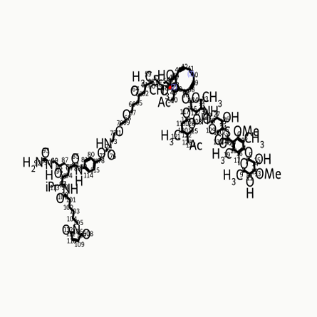 COc1c(C)c(OC2OC(C)C(O)C(OC)C2O)c(I)c(C)c1C(=O)SC1C(O)CC(ONC2C(C)OC(O[C@H]3C#C/C=C\C#C[C@]4(O)CC(=O)C(CC(C)=O)=C3/C4=C/CSSC(C)(C)CCC(=O)CCCOCCOCCNC(=O)OCc3ccc(NC(=O)[C@H](CCCNC(N)=O)CC(=O)[C@@H](NC(=O)CCCCCN4C(=O)C=CC4=O)C(C)C)cc3)C(OC3CC(C)C(CC(C)=O)CO3)C2O)OC1C